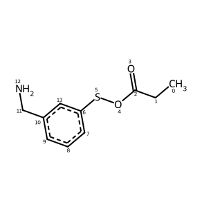 CCC(=O)OSc1cccc(CN)c1